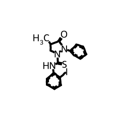 CC1CN(C(=S)Nc2ccccc2I)N(c2ccccc2)C1=O